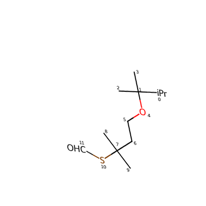 CC(C)C(C)(C)OCCC(C)(C)SC=O